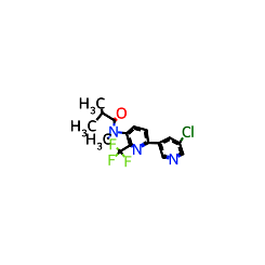 CC(C)C(=O)N(C)c1ccc(-c2cncc(Cl)c2)nc1C(F)(F)F